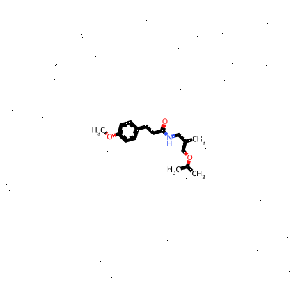 COc1ccc(CCC(=O)NCC(C)COC(C)C)cc1